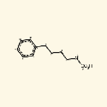 O=C(O)[N]CCCCc1ccccc1